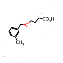 Cc1cccc(COCCCC(=O)O)c1